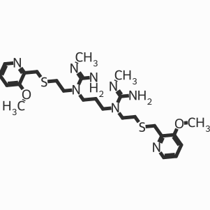 CN=C(N)N(CCCN(CCSCc1ncccc1OC)C(N)=NC)CCSCc1ncccc1OC